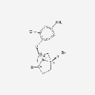 CN1[C@@H]2CC[C@H]1C[C@H](Oc1ccc(N)cc1Cl)C2.[Zn]